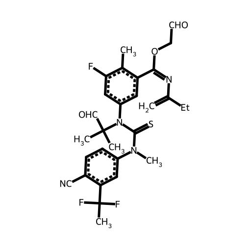 C=C(CC)/N=C(/OCC=O)c1cc(N(C(=S)N(C)c2ccc(C#N)c(C(C)(F)F)c2)C(C)(C)C=O)cc(F)c1C